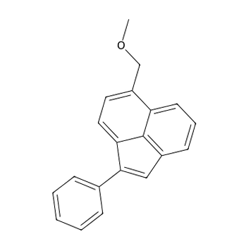 COCc1ccc2c3c(cccc13)C=C2c1ccccc1